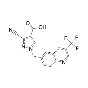 N#Cc1nn(Cc2ccc3ncc(C(F)(F)F)cc3c2)cc1C(=O)O